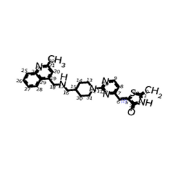 C=c1[nH]c(=O)/c(=C/c2ccnc(N3CCC(CNCc4cc(C)nc5ccccc45)CC3)n2)s1